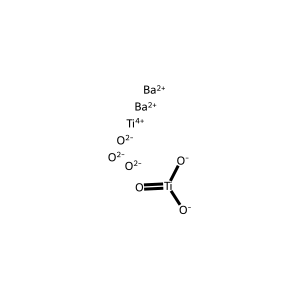 [Ba+2].[Ba+2].[O-2].[O-2].[O-2].[O]=[Ti]([O-])[O-].[Ti+4]